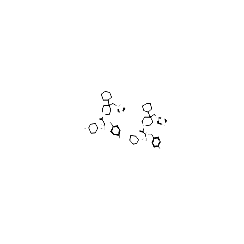 O=C([C@@H](Cc1ccc(Cl)cc1)N[C@H]1CC[C@@H](O)CC1)N1CCC(Cn2cncn2)(C2CCCCC2)CC1.O=C([C@@H](Cc1ccc(Cl)cc1)N[C@H]1CC[C@H](O)CC1)N1CCC(Cn2cncn2)(C2CCCCC2)CC1